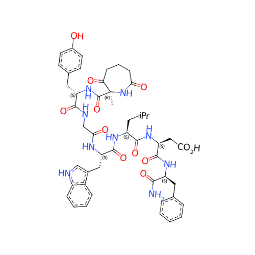 CC(C)C[C@H](NC(=O)[C@H](Cc1c[nH]c2ccccc12)NC(=O)CNC(=O)[C@H](Cc1ccc(O)cc1)NC(=O)[C@]1(C)NC(=O)CCCC1=O)C(=O)N[C@@H](CC(=O)O)C(=O)N[C@@H](Cc1ccccc1)C(N)=O